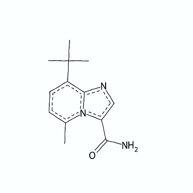 Cc1ccc(C(C)(C)C)c2ncc(C(N)=O)n12